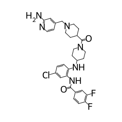 Nc1cc(CN2CCC(C(=O)N3CCC(Nc4ccc(Cl)cc4NC(=O)c4ccc(F)c(F)c4)CC3)CC2)ccn1